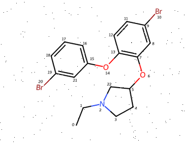 CCN1CCC(Oc2cc(Br)ccc2Oc2cccc(Br)c2)C1